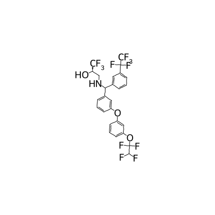 O[C@H](CNC(c1cccc(Oc2cccc(OC(F)(F)C(F)F)c2)c1)c1cccc(C(F)(F)C(F)(F)F)c1)C(F)(F)F